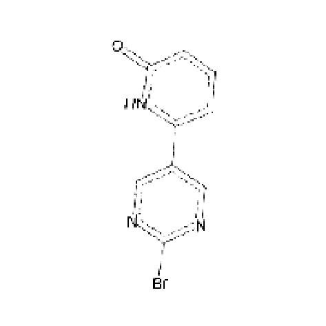 O=c1cccc(-c2cnc(Br)nc2)[nH]1